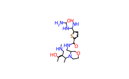 CNC/C(=C(/C)O)C(C)N1CCOCC1CNC(=O)c1ccc(C(NC)NC(N)O)s1